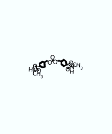 CNS(=O)(=O)c1ccc(COC(=O)OCc2ccc(S(=O)(=O)NC)cc2)cc1